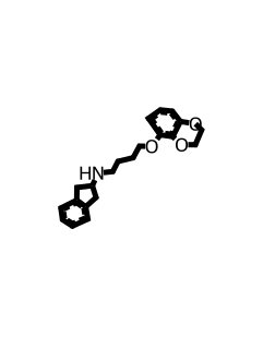 c1ccc2c(c1)CC(NCCCCOc1cccc3c1OCCO3)C2